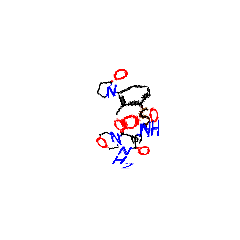 Cc1c(N2CCCC2=O)cccc1S(=O)(=O)N[C@@H](C(N)=O)C(=O)N1CCOCC1